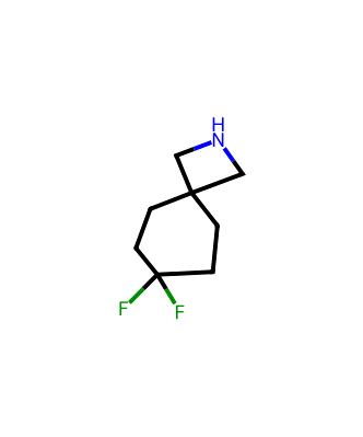 FC1(F)CCC2(CC1)CNC2